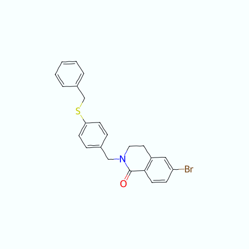 O=C1c2ccc(Br)cc2CCN1Cc1ccc(SCc2ccccc2)cc1